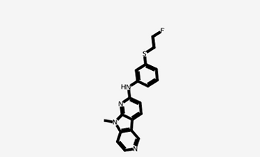 Cn1c2ccncc2c2ccc(Nc3cccc(SCCF)c3)nc21